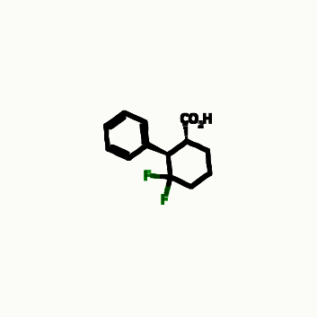 O=C(O)[C@@H]1CCCC(F)(F)[C@H]1c1ccccc1